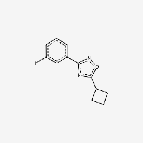 Ic1cccc(-c2noc(C3CCC3)n2)c1